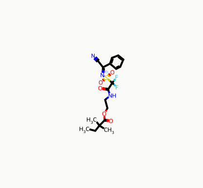 CCC(C)(C)C(=O)OCCNC(=O)C(F)(F)S(=O)(=O)/N=C(/C#N)c1ccccc1